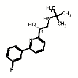 CC(C)(C)NC[C@@H](O)c1cccc(-c2cccc(F)c2)n1